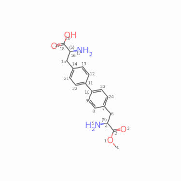 COC(=O)[C@@H](N)Cc1ccc(-c2ccc(C[C@H](N)C(=O)O)cc2)cc1